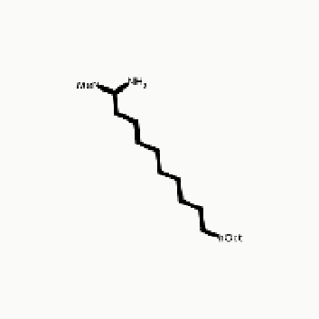 CCCCCCCCCCCCCCCCCC(N)NC